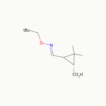 CC(C)(C)CO/N=C/C1[C@@H](C(=O)O)C1(C)C